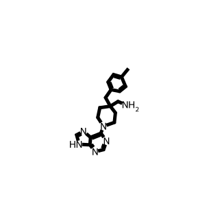 Cc1ccc(CC2(CN)CCN(c3ncnc4[nH]cnc34)CC2)cc1